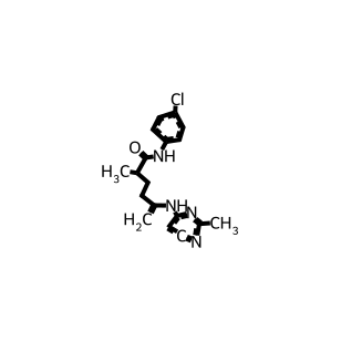 C=C(CCC(C)C(=O)Nc1ccc(Cl)cc1)Nc1ccnc(C)n1